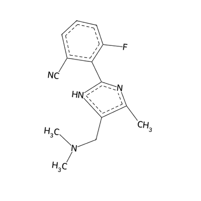 Cc1nc(-c2c(F)cccc2C#N)[nH]c1CN(C)C